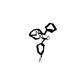 O=C(c1ccc(F)cc1)N1CC2CCC(C1)N(Cc1ccccc1)C2